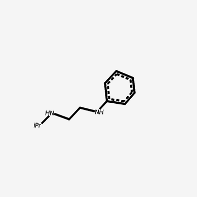 CC(C)NCCNc1ccccc1